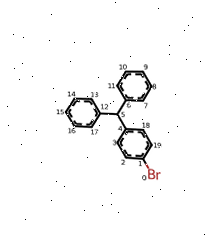 Brc1ccc(C(c2ccccc2)c2ccccc2)cc1